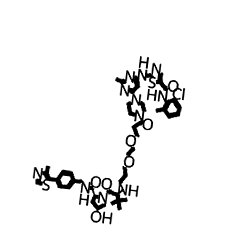 Cc1nc(Nc2ncc(C(=O)Nc3c(C)cccc3Cl)s2)cc(N2CCN(C(=O)CCOCCOCCCN[C@H](C(=O)N3C[C@H](O)C[C@H]3C(=O)NCc3ccc(-c4scnc4C)cc3)C(C)(C)C)CC2)n1